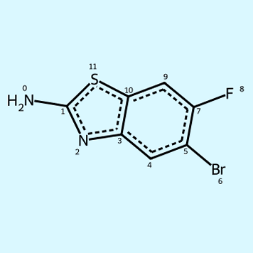 Nc1nc2cc(Br)c(F)cc2s1